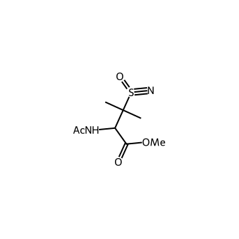 COC(=O)C(NC(C)=O)C(C)(C)S(#N)=O